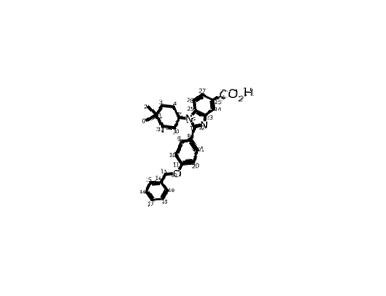 CC1(C)CCC(n2c(-c3ccc(OCc4ccccc4)cc3)nc3cc(C(=O)O)ccc32)CC1